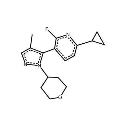 Cc1cnn(C2CCOCC2)c1-c1ccc(C2CC2)nc1F